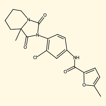 Cc1ccc(C(=O)Nc2ccc(N3C(=O)N4CCCCC4(C)C3=O)c(Cl)c2)o1